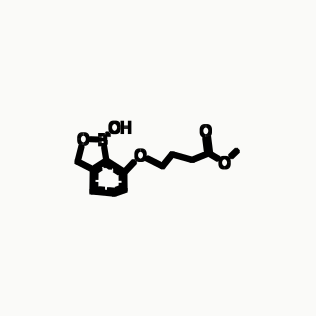 COC(=O)CCCOc1cccc2c1B(O)OC2